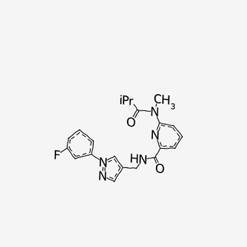 CC(C)C(=O)N(C)c1cccc(C(=O)NCc2cnn(-c3cccc(F)c3)c2)n1